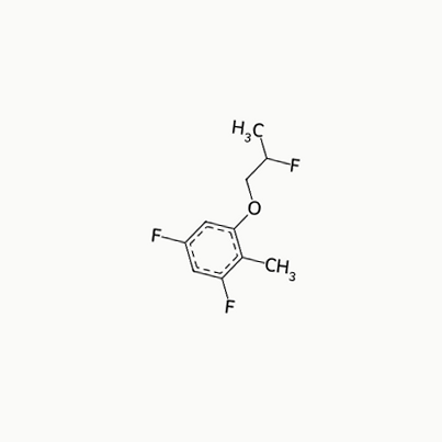 Cc1c(F)cc(F)cc1OCC(C)F